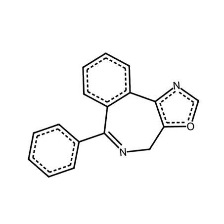 c1ccc(C2=NCc3ocnc3-c3ccccc32)cc1